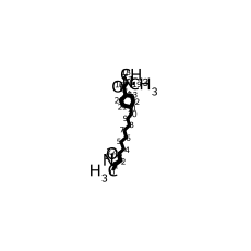 Cc1cc(CCCCCCCc2ccc(C(=O)N(C)C)cc2)on1